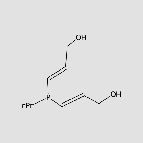 CCCP(C=CCO)C=CCO